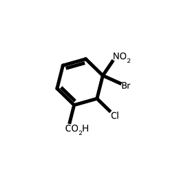 O=C(O)C1=CC=CC(Br)([N+](=O)[O-])C1Cl